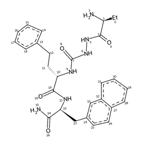 CC[C@H](N)C(=O)NNC(=O)N[C@@H](CCc1ccccc1)C(=O)N[C@@H](Cc1ccc2ccccc2c1)C(N)=O